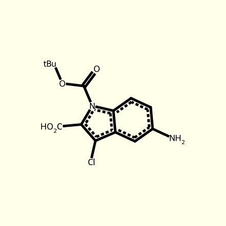 CC(C)(C)OC(=O)n1c(C(=O)O)c(Cl)c2cc(N)ccc21